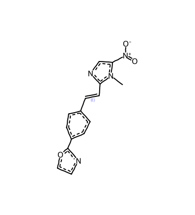 Cn1c([N+](=O)[O-])cnc1/C=C/c1ccc(-c2ncco2)cc1